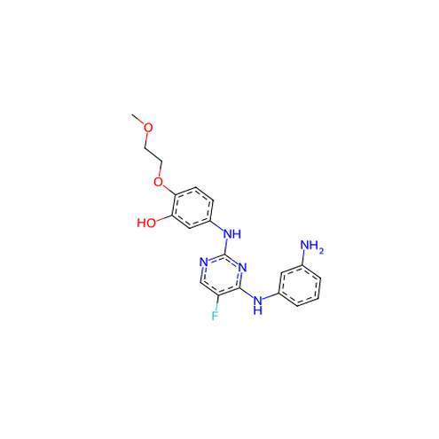 COCCOc1ccc(Nc2ncc(F)c(Nc3cccc(N)c3)n2)cc1O